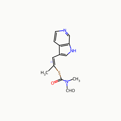 C/C(=C/c1c[nH]c2cnccc12)SC(=O)N(C)C=O